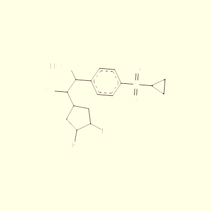 CCC(C1CC(F)C(F)C1)C(C(=O)O)c1ccc(S(=O)(=O)C2CC2)cc1